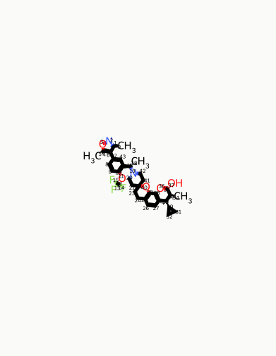 Cc1noc(C)c1-c1ccc(OC(F)(F)F)c(C(C)N2CCC3(CCc4ccc([C@H](C5CC5)[C@H](C)C(=O)O)cc4O3)CC2)c1